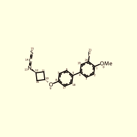 COc1ccc(-c2ccc(O[C@H]3C[C@H](N=C=S)C3)cc2)cc1F